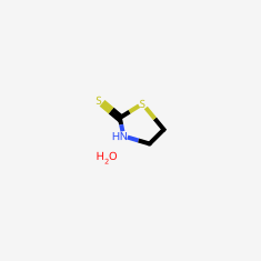 O.S=C1NCCS1